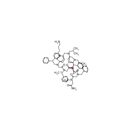 C=CCN(CC(=O)N(CC(=O)N(CCCCN)CC(=O)N(CC(=O)N(CC(=O)N(CC(=O)N(CC(=O)N(C)CC(N)=O)Cc1ccccc1)Cc1ccccc1)[C@@H](C)c1ccccc1)CC(c1ccccc1)c1ccccc1)CC(C)C)C(=O)CNC1CC1